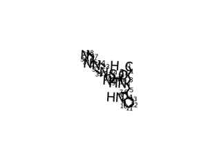 CCCCC(Cc1c[nH]c2ccccc12)NC(=O)c1cnc(N2CCN(c3ccncn3)CC2)s1